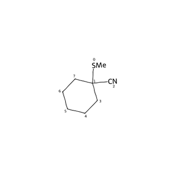 CSC1(C#N)CCCCC1